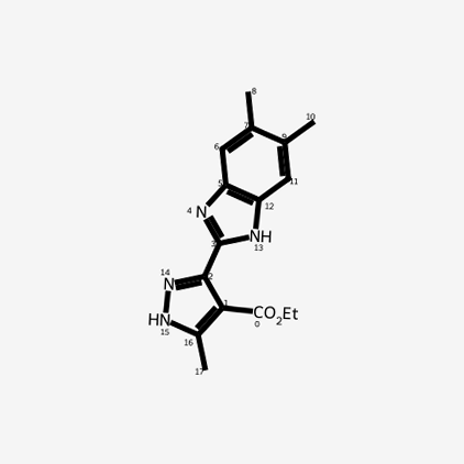 CCOC(=O)c1c(-c2nc3cc(C)c(C)cc3[nH]2)n[nH]c1C